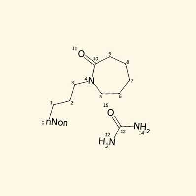 CCCCCCCCCCCCN1CCCCCC1=O.NC(N)=O